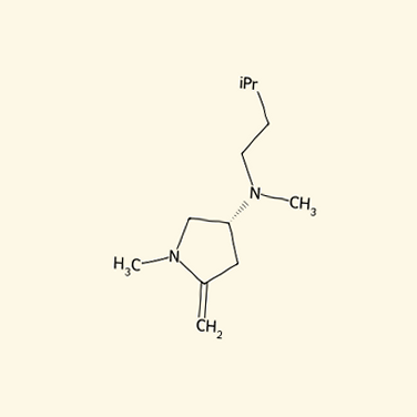 C=C1C[C@@H](N(C)CCC(C)C)CN1C